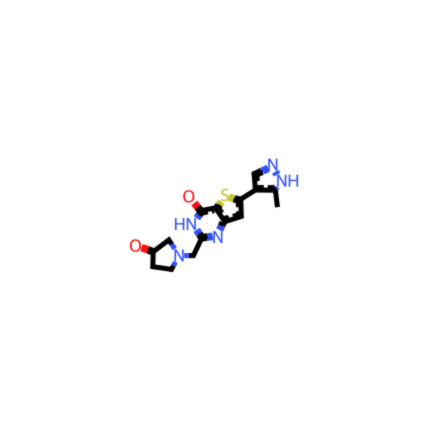 Cc1[nH]ncc1-c1cc2nc(CN3CCC(=O)C3)[nH]c(=O)c2s1